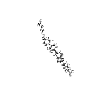 C=CC(=O)OCCCCOc1ccc(C2=CC=C(c3ccc(OC(=O)c4ccc(OC(=O)C(=C)F)cc4)cc3)CC2)cc1